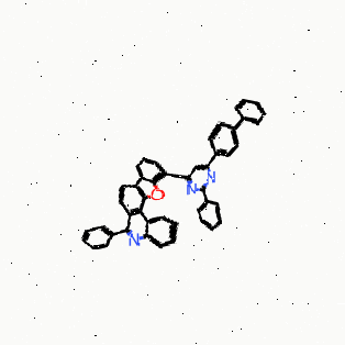 c1ccc(-c2ccc(-c3cc(-c4cccc5c4oc4c5ccc5c(-c6ccccc6)nc6ccccc6c54)nc(-c4ccccc4)n3)cc2)cc1